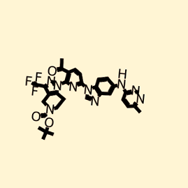 CC(=O)c1ccc(-n2cnc3cc(Nc4ccc(C)nn4)ccc32)nc1-n1nc(C(F)(F)F)c2c1CCN(C(=O)OC(C)(C)C)C2